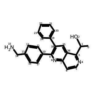 CC(O)c1nccc2nc(-c3ccc(CN)cc3)c(-c3ccccc3)cc12